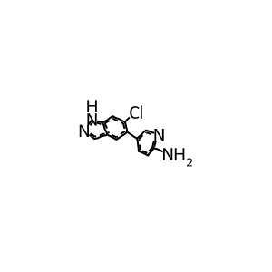 Nc1ccc(-c2cc3cn[nH]c3cc2Cl)cn1